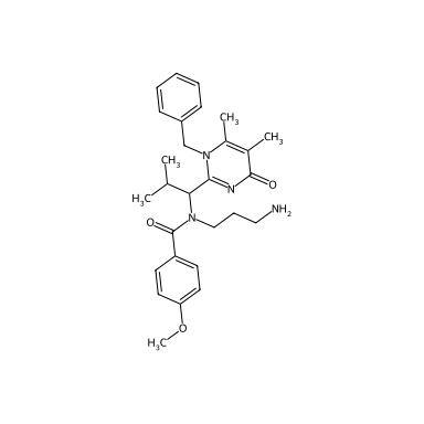 COc1ccc(C(=O)N(CCCN)C(c2nc(=O)c(C)c(C)n2Cc2ccccc2)C(C)C)cc1